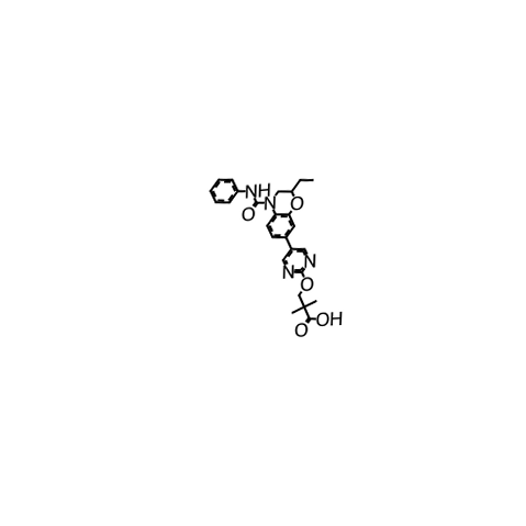 CCC1CN(C(=O)Nc2ccccc2)c2ccc(-c3cnc(OCC(C)(C)C(=O)O)nc3)cc2O1